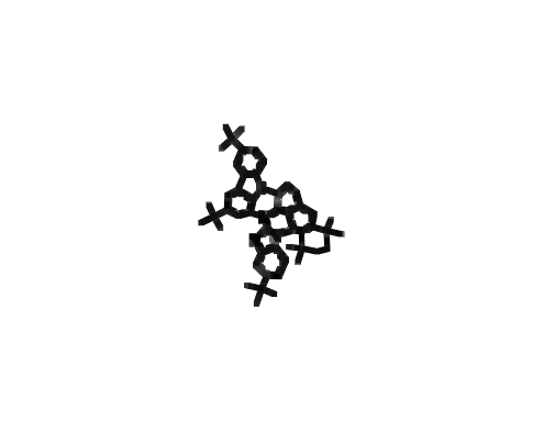 CC(C)(C)c1ccc2c(c1)-c1cc(C(C)(C)C)cc3c1B2c1ccc2cc4c(c5c2c1n-3c1nc2cc(C(C)(C)C)ccc2n51)C(C)(C)CCC4(C)C